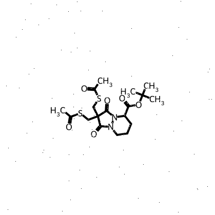 CC(=O)SCC1(CSC(C)=O)C(=O)N2CCCC(C(=O)OC(C)(C)C)N2C1=O